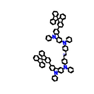 C1=CC(c2ccc3c(c2)c2cc(N(c4ccccc4)c4ccc(/C=C/c5ccc(N(c6ccccc6)c6ccc7c(c6)c6cc(-c8ccc9c(c8)C8(c%10ccccc%10-c%10ccccc%108)c8ccccc8-9)ccc6n7-c6ccccc6)cc5)cc4)ccc2n3-c2ccccc2)CC2=C1c1ccccc1C21c2ccccc2-c2ccccc21